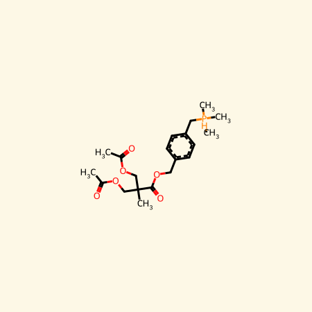 CC(=O)OCC(C)(COC(C)=O)C(=O)OCc1ccc(C[PH](C)(C)C)cc1